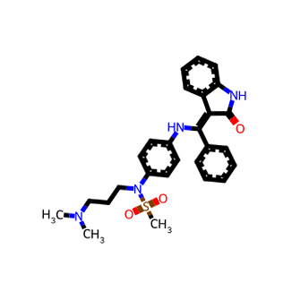 CN(C)CCCN(c1ccc(NC(=C2C(=O)Nc3ccccc32)c2ccccc2)cc1)S(C)(=O)=O